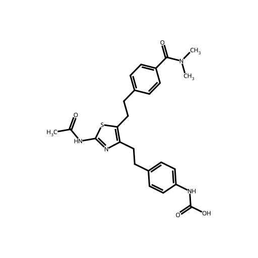 CC(=O)Nc1nc(CCc2ccc(NC(=O)O)cc2)c(CCc2ccc(C(=O)N(C)C)cc2)s1